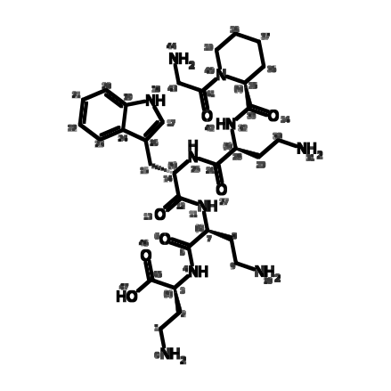 NCC[C@H](NC(=O)[C@H](CCN)NC(=O)[C@H](Cc1c[nH]c2ccccc12)NC(=O)[C@H](CCN)NC(=O)[C@@H]1CCCCN1C(=O)CN)C(=O)O